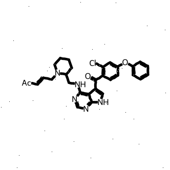 CC(=O)/C=C/CN1CCCCC1CNc1ncnc2[nH]cc(C(=O)c3ccc(Oc4ccccc4)cc3Cl)c12